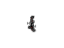 CN1CCN(Cc2ccc3c(c2)OCCC3NC(=O)C[C@@H](NS(=O)(=O)c2ccc3ccccc3c2)c2ccccc2)CC1